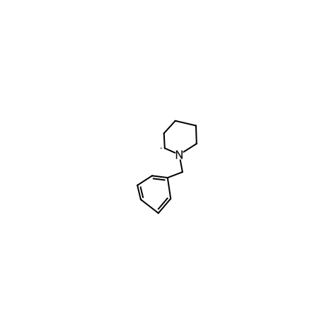 [CH]1CCCCN1Cc1ccccc1